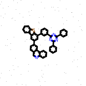 c1ccc(-c2nc(-c3ccccc3)nc(-c3cccc(-c4cc(-c5ccc6cnc7ccccc7c6c5)cc5c4sc4ccccc45)c3)n2)cc1